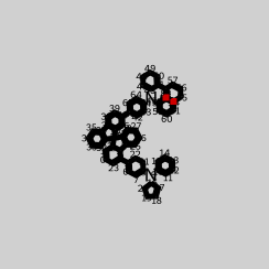 C1=CC2C(C(C3=CC=C(N(c4ccccc4)C4C=CCC4)CC3)=C1)c1ccccc1C21c2ccccc2-c2ccc(-c3ccc(N(C4=CCCC=C4C4=CCCC=C4)c4ccccc4)cc3)cc21